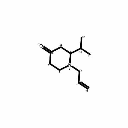 C=CCN1CCC(=O)CC1C(C)C